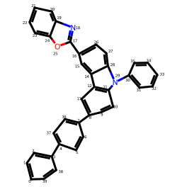 c1ccc(-c2ccc(-c3ccc4c(c3)c3cc(-c5nc6ccccc6o5)ccc3n4-c3ccccc3)cc2)cc1